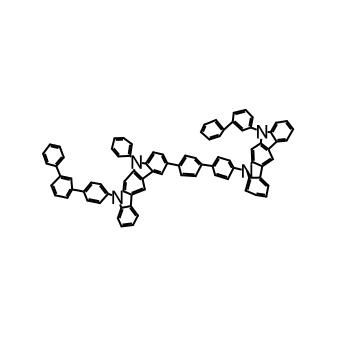 c1ccc(-c2cccc(-c3ccc(-n4c5ccccc5c5cc6c7cc(-c8ccc(-c9ccc(-n%10c%11ccccc%11c%11cc%12c%13ccccc%13n(-c%13cccc(-c%14ccccc%14)c%13)c%12cc%11%10)cc9)cc8)ccc7n(-c7ccccc7)c6cc54)cc3)c2)cc1